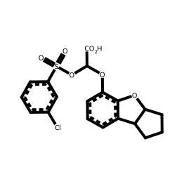 O=C(O)C(Oc1cccc2c1OC1CCCC21)OS(=O)(=O)c1cccc(Cl)c1